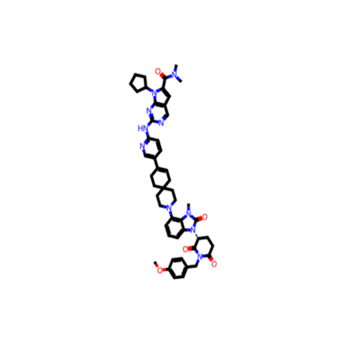 COc1ccc(CN2C(=O)CC[C@@H](n3c(=O)n(C)c4c(N5CCC6(CC=C(c7ccc(Nc8ncc9cc(C(=O)N(C)C)n(C%10CCCC%10)c9n8)nc7)CC6)CC5)cccc43)C2=O)cc1